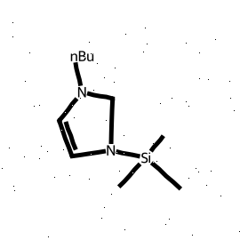 CCCCN1C=CN([Si](C)(C)C)C1